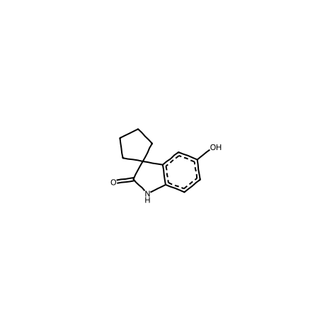 O=C1Nc2ccc(O)cc2C12CCCC2